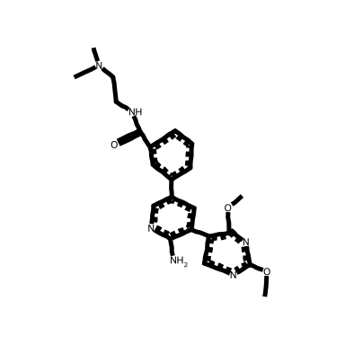 COc1ncc(-c2cc(-c3cccc(C(=O)NCCN(C)C)c3)cnc2N)c(OC)n1